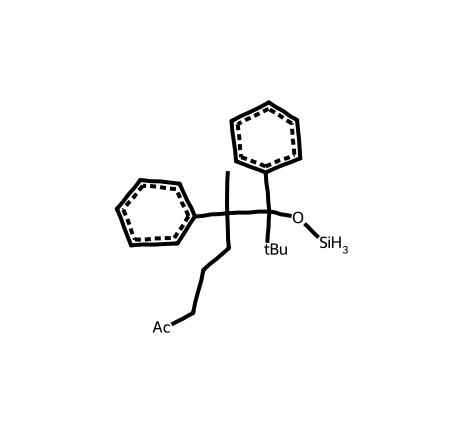 CC(=O)CCCC(C)(c1ccccc1)C(O[SiH3])(c1ccccc1)C(C)(C)C